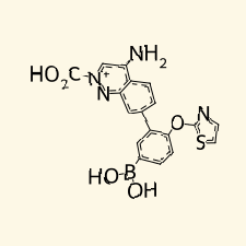 Nc1c[n+](C(=O)O)nc2cc(-c3cc(B(O)O)ccc3Oc3nccs3)ccc12